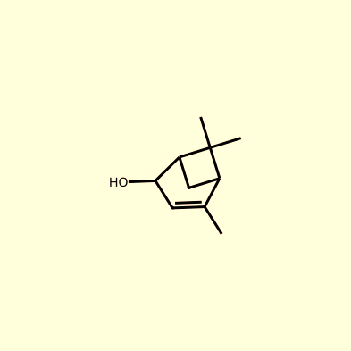 CC1=CC(O)C2CC1C2(C)C